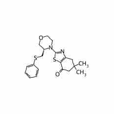 CC1(C)CC(=O)c2sc(N3CCOC[C@@H]3CSc3ccccc3)nc2C1